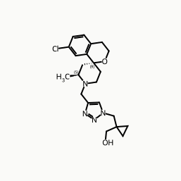 C[C@H]1C[C@@]2(CCN1Cc1cn(CC3(CO)CC3)nn1)OCCc1ccc(Cl)cc12